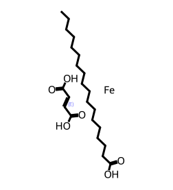 CCCCCCCCCCCCCCCCCC(=O)O.O=C(O)/C=C/C(=O)O.[Fe]